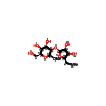 CO[C@H]1O[C@H](CO)[C@@H](O)[C@H](O)[C@@H]1O[C@H]1O[C@H](CSC)[C@H](O)[C@H]1O